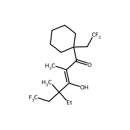 CCC(C)(CC(F)(F)F)/C(O)=C(\C)C(=O)C1(CC(F)(F)F)CCCCC1